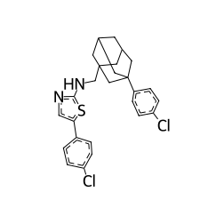 Clc1ccc(-c2cnc(NCC34CC5CC(C3)CC(c3ccc(Cl)cc3)(C5)C4)s2)cc1